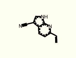 C=Cc1ccc2c(C#N)c[nH]c2n1